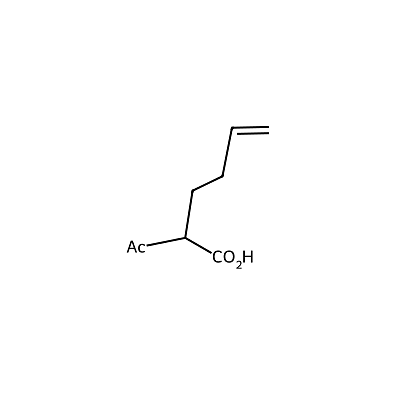 C=CCCC(C(C)=O)C(=O)O